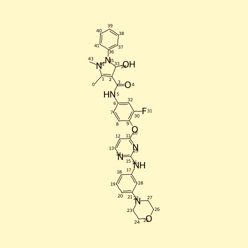 CC1=C(C(=O)Nc2ccc(Oc3ccnc(Nc4cccc(N5CCOCC5)c4)n3)c(F)c2)C(O)N(c2ccccc2)N1C